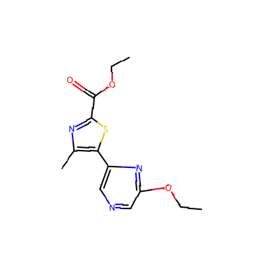 CCOC(=O)c1nc(C)c(-c2cncc(OCC)n2)s1